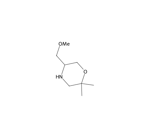 COCC1COC(C)(C)CN1